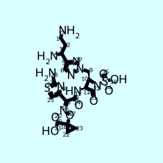 NCCC(N)c1cnn(C[C@@H]2[C@H](NC(=O)/C(=N\OC3(C(=O)O)CC3)c3csc(N)n3)C(=O)N2S(=O)(=O)O)n1